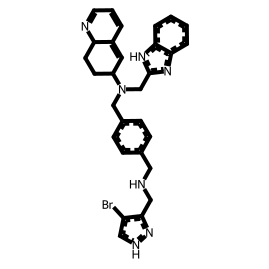 Brc1c[nH]nc1CNCc1ccc(CN(Cc2nc3ccccc3[nH]2)C2C=C3C=CC=NC3CC2)cc1